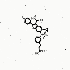 CNC(O)c1c(-c2ccc(F)cc2)oc2cc(N(c3cccc(CCB(O)O)c3)S(C)(=O)=O)c(C3CC3)cc12